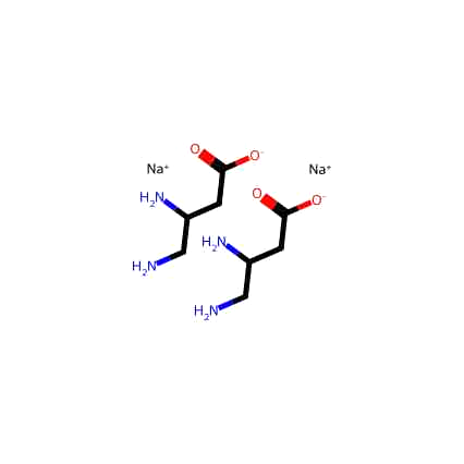 NCC(N)CC(=O)[O-].NCC(N)CC(=O)[O-].[Na+].[Na+]